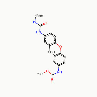 CCCCCNC(=O)Nc1ccc(Oc2ccc(NC(=O)OC(C)(C)C)cc2)c(C(=O)O)c1